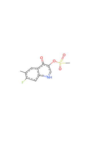 Cc1cc2c(=O)c(OS(C)(=O)=O)c[nH]c2cc1F